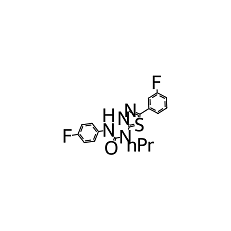 CCCN(C(=O)Nc1ccc(F)cc1)c1nnc(-c2cccc(F)c2)s1